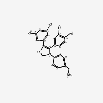 NCc1ccc(N2CSC(c3cc(Cl)cc(Cl)c3)=C2c2ccc(Cl)c(Cl)c2)cc1